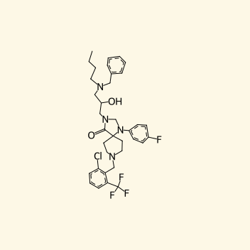 CCCCN(Cc1ccccc1)CC(O)CN1CN(c2ccc(F)cc2)C2(CCN(Cc3c(Cl)cccc3C(F)(F)F)CC2)C1=O